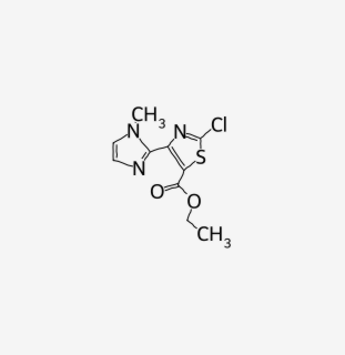 CCOC(=O)c1sc(Cl)nc1-c1nccn1C